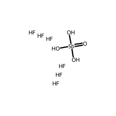 F.F.F.F.F.F.[O]=[Sb]([OH])([OH])[OH]